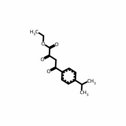 CCOC(=O)C(=O)CC(=O)c1ccc(C(C)C)cc1